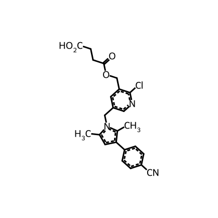 Cc1cc(-c2ccc(C#N)cc2)c(C)n1Cc1cnc(Cl)c(COC(=O)CCC(=O)O)c1